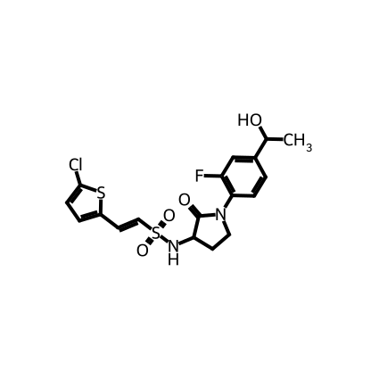 CC(O)c1ccc(N2CCC(NS(=O)(=O)/C=C/c3ccc(Cl)s3)C2=O)c(F)c1